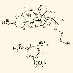 CC(C)CCC[C@@H](C)[C@H]1CC[C@H]2[C@@H]3CCC4CC(O)CC[C@]4(C)[C@H]3CC[C@]12C.Nc1cc(N)cc(C(=O)O)c1